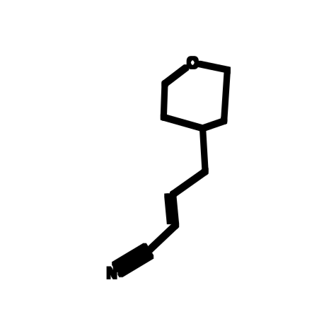 N#CC=CCC1CCOCC1